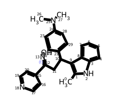 Cc1[nH]c2ccccc2c1C(C/C(=N\O)c1ccncc1)c1ccc(N(C)C)cc1